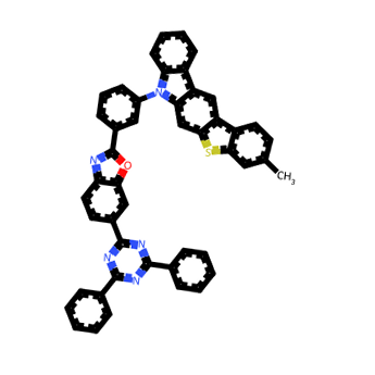 Cc1ccc2c(c1)sc1cc3c(cc12)c1ccccc1n3-c1cccc(-c2nc3ccc(-c4nc(-c5ccccc5)nc(-c5ccccc5)n4)cc3o2)c1